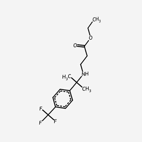 CCOC(=O)CCNC(C)(C)c1ccc(C(F)(F)F)cc1